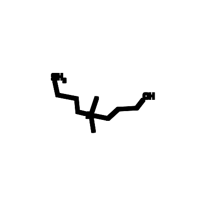 C[Si](C)(CCCO)CCC[SiH3]